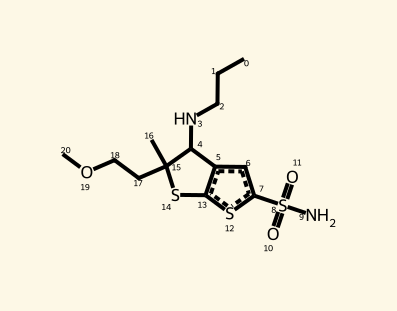 CCCNC1c2cc(S(N)(=O)=O)sc2SC1(C)CCOC